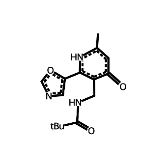 Cc1cc(=O)c(CNC(=O)C(C)(C)C)c(-c2cnco2)[nH]1